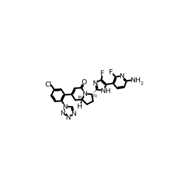 Nc1ccc(-c2[nH]c([C@@H]3CC[C@@H]4CC(c5cc(Cl)ccc5-n5cnnn5)=CC(=O)N43)nc2F)c(F)n1